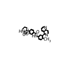 Cc1ccc(NC(=O)c2ccc(N3CCCNS3(=O)=O)cc2)cc1-c1nccc2ncccc12